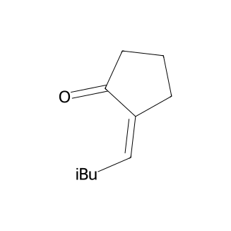 CCC(C)/C=C1/CCCC1=O